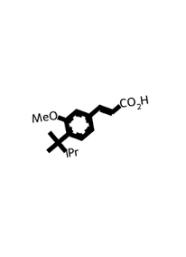 COc1cc(/C=C/C(=O)O)ccc1C(C)(C)C(C)C